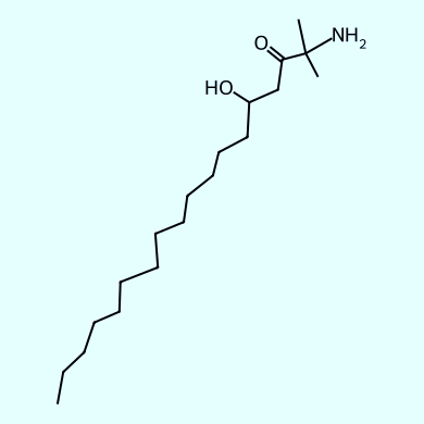 CCCCCCCCCCCCCC(O)CC(=O)C(C)(C)N